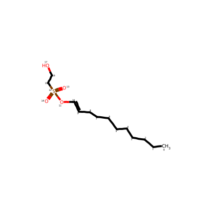 CCCCCCCCCC=COS(=O)(=O)CCO